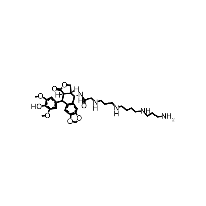 COc1cc(C2c3cc4c(cc3[C@@H](NC(=O)CNCCCNCCCCNCCCN)[C@H]3COC(=O)[C@@H]23)OCO4)cc(OC)c1O